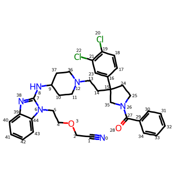 N#CCOCCn1c(NC2CCN(CCC3(c4ccc(Cl)c(Cl)c4)CCN(C(=O)c4ccccc4)C3)CC2)nc2ccccc21